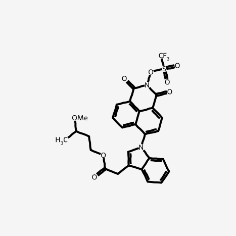 COC(C)CCOC(=O)Cc1cn(-c2ccc3c4c(cccc24)C(=O)N(OS(=O)(=O)C(F)(F)F)C3=O)c2ccccc12